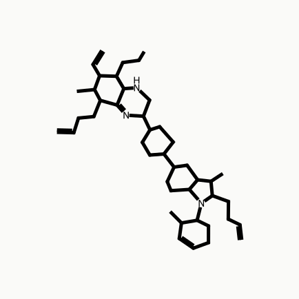 C=CCCC1C2=NC(C3CCC(C4CCC5C(C4)C(C)C(CCC=C)N5C4CCC=CC4C)CC3)CNC2C(CCC)C(C=C)C1C